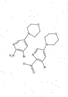 Nc1ncc(N2CCOCC2)cc1Br.O=[N+]([O-])c1ncc(N2CCOCC2)cc1Br